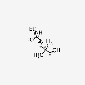 CCNC(=O)NCC(C)(C)CO